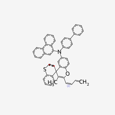 C=C/C=C\C1=C(C)C2(c3cc(N(c4ccc(-c5ccccc5)cc4)c4cc5ccccc5c5ccccc45)ccc3O1)c1ccccc1Sc1ccccc12